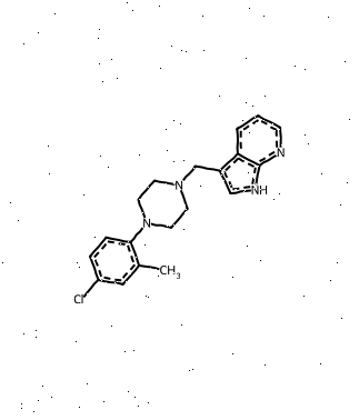 Cc1cc(Cl)ccc1N1CCN(Cc2c[nH]c3ncccc23)CC1